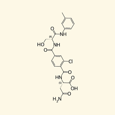 Cc1cccc(NC(=O)[C@@H](CO)NC(=O)c2ccc(C(=O)N[C@@H](CC(N)=O)C(=O)O)c(Cl)c2)c1